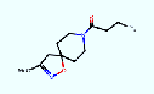 COC1=NOC2(CCN(C(=O)CCC(F)(F)F)CC2)C1